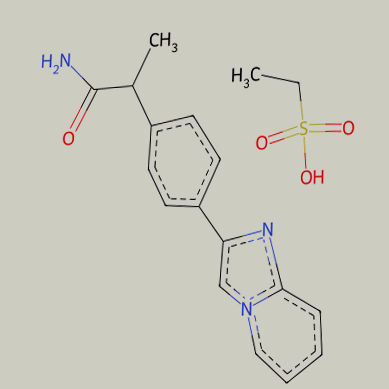 CC(C(N)=O)c1ccc(-c2cn3ccccc3n2)cc1.CCS(=O)(=O)O